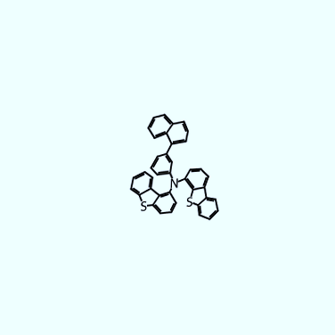 c1cc(-c2cccc3ccccc23)cc(N(c2cccc3c2sc2ccccc23)c2cccc3sc4ccccc4c23)c1